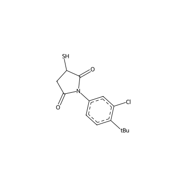 CC(C)(C)c1ccc(N2C(=O)CC(S)C2=O)cc1Cl